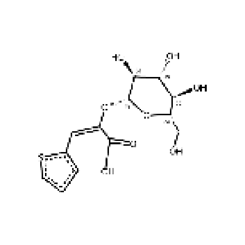 O=C(O)C(=Cc1cccs1)O[C@H]1O[C@@H](CO)[C@H](O)[C@@H](O)[C@@H]1O